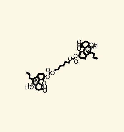 C=CCN1CC[C@]23c4c5ccc(OC(=O)OCCCCCCOC(=O)Oc6ccc7c8c6O[C@H]6C(=O)CC[C@@]9(O)[C@@H](C7)N(CC=C)CC[C@]869)c4O[C@H]2C(=O)CC[C@@]3(O)[C@H]1C5